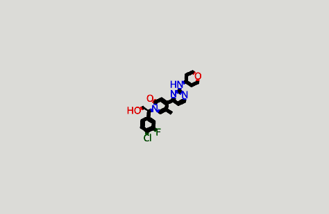 Cc1cn([C@H](CO)c2ccc(Cl)c(F)c2)c(=O)cc1-c1ccnc(NC2CCOCC2)n1